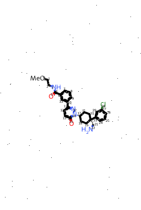 COCCNC(=O)c1cccc(-c2ccc(=O)n([C@H]3CC[C@](CN)(c4cccc(Cl)c4)CC3)n2)c1